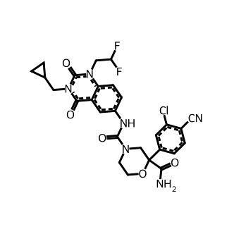 N#Cc1ccc(C2(C(N)=O)CN(C(=O)Nc3ccc4c(c3)c(=O)n(CC3CC3)c(=O)n4CC(F)F)CCO2)cc1Cl